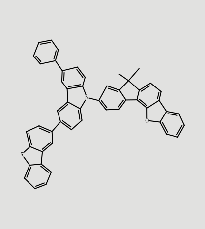 CC1(C)c2cc(-n3c4ccc(-c5ccccc5)cc4c4cc(-c5ccc6sc7ccccc7c6c5)ccc43)ccc2-c2c1ccc1c2oc2ccccc21